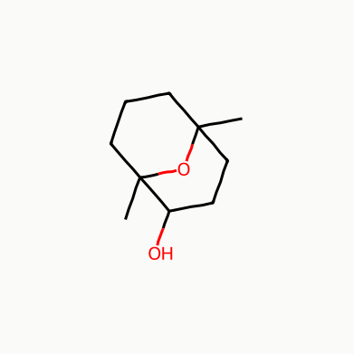 CC12CCCC(C)(O1)C(O)CC2